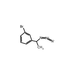 CC(N=[N+]=[N-])c1cccc(Br)c1